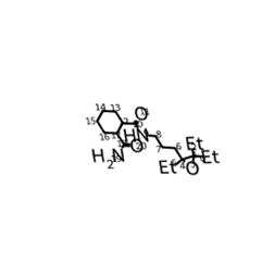 CCC1(CC)OC1(CC)CCCNC(=O)C1CCCCC1C(N)=O